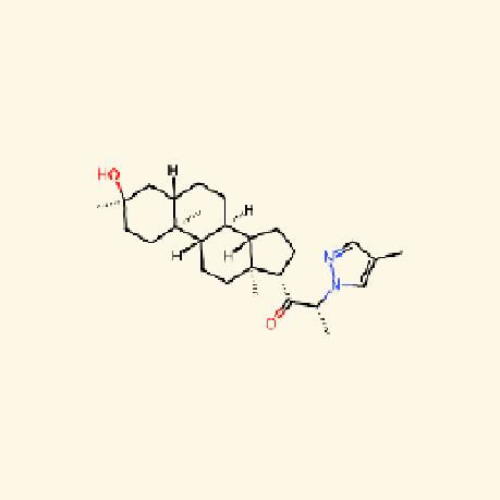 Cc1cnn([C@H](C)C(=O)[C@H]2CC[C@H]3[C@@H]4CC[C@H]5C[C@](C)(O)CC[C@]5(C)[C@H]4CC[C@]23C)c1